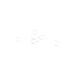 O=C(OCOCc1ccccc1)c1ccccc1-c1c2ccc(=O)cc-2oc2cc(OCOCc3ccccc3)ccc12